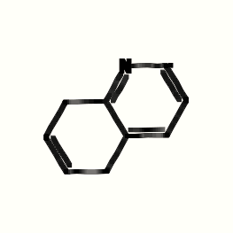 [c]1ccc2c(n1)CC=CC2